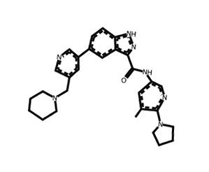 Cc1cc(NC(=O)c2n[nH]c3ccc(-c4cncc(CN5CCCCC5)c4)cc23)cnc1N1CCCC1